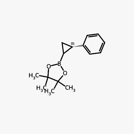 CC1(C)OB(C2C[C@@H]2c2ccccc2)OC1(C)C